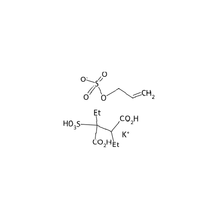 C=CCOS(=O)(=O)[O-].CCC(C(=O)O)C(CC)(C(=O)O)S(=O)(=O)O.[K+]